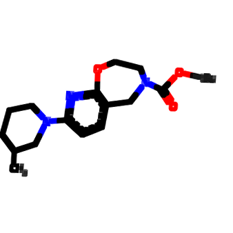 CC1CCCN(c2ccc3c(n2)OCCN(C(=O)OC(C)(C)C)C3)C1